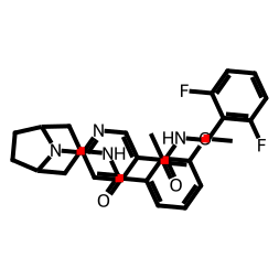 COc1cccc(C(=O)NC2CC3CCC(C2)N3c2ccc(C(=O)NCc3c(F)cccc3F)cn2)c1C